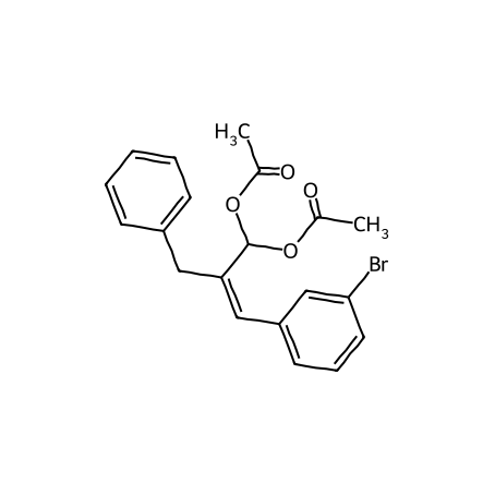 CC(=O)OC(OC(C)=O)C(=Cc1cccc(Br)c1)Cc1ccccc1